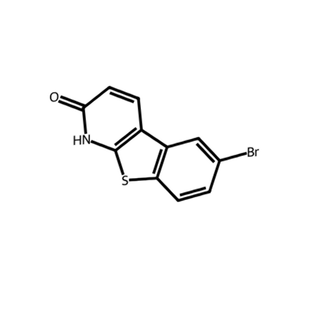 O=c1ccc2c([nH]1)sc1ccc(Br)cc12